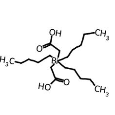 CCCC[CH2][Bi]([CH2]CCCC)([CH2]CCCC)([CH2]C(=O)O)[CH2]C(=O)O